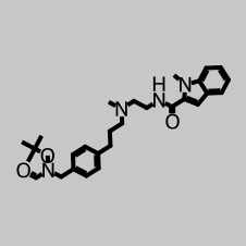 CN(CCCc1ccc(CN(C=O)OC(C)(C)C)cc1)CCNC(=O)c1cc2ccccc2n1C